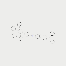 C(=C\c1ccc2c(c1)oc1cc(N(c3ccccc3)c3ccccc3)ccc12)/c1ccc(-c2cc(-c3ccccc3)c3c4ccccc4c4ccccc4c3c2-c2ccccc2)cc1